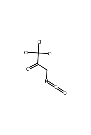 O=C=NCC(=O)C(Cl)(Cl)Cl